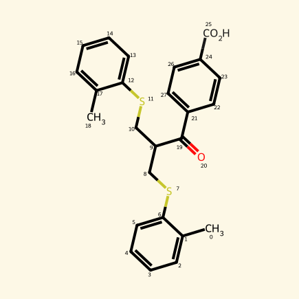 Cc1ccccc1SCC(CSc1ccccc1C)C(=O)c1ccc(C(=O)O)cc1